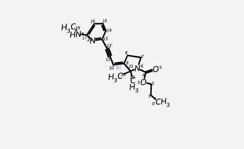 CCCOC(=O)N1CC/C(=C\C#Cc2cccc(NC)n2)C1(C)C